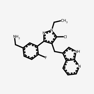 CCn1nc(-c2cc(CN)ccc2F)c(Cc2c[nH]c3ncccc23)c1Cl